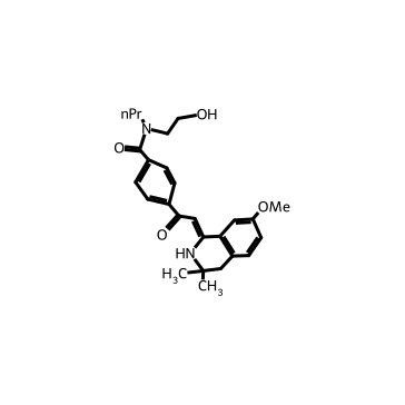 CCCN(CCO)C(=O)c1ccc(C(=O)/C=C2\NC(C)(C)Cc3ccc(OC)cc32)cc1